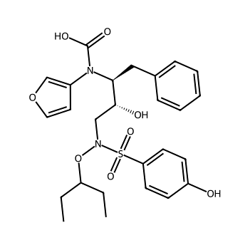 CCC(CC)ON(C[C@@H](O)[C@H](Cc1ccccc1)N(C(=O)O)c1ccoc1)S(=O)(=O)c1ccc(O)cc1